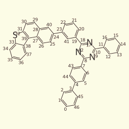 c1ccc(-c2ccc(-c3nc(-c4ccccc4)nc(-c4cccc(-c5ccc6c(ccc7sc8ccccc8c76)c5)c4)n3)cc2)cc1